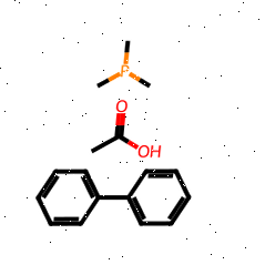 CC(=O)O.CP(C)C.c1ccc(-c2ccccc2)cc1